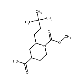 COC(=O)N1CCC(C(=O)O)CC1CCC(C)(C)C